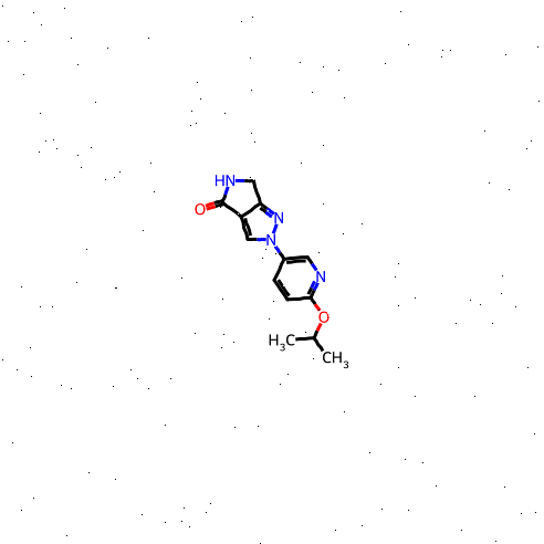 CC(C)Oc1ccc(-n2cc3c(n2)CNC3=O)cn1